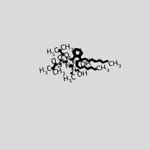 C=C(C)C(=O)ON(OC(=O)C(=C)C)c1nc(-c2ccccc2C(O)(CCCCCCCC)CCCCCCCC)nc(N(CC)CO)n1